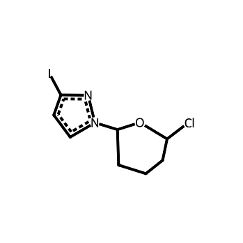 ClC1CCCC(n2ccc(I)n2)O1